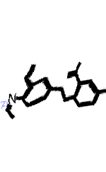 C=Cc1cc(CCc2ccc(C)cc2C(=C)C)ccc1/N=C\C